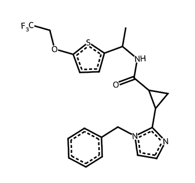 CC(NC(=O)C1CC1c1nccn1Cc1ccccc1)c1ccc(OCC(F)(F)F)s1